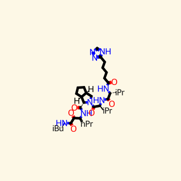 CCCC(NC(=O)[C@@H]1[C@H]2CCC[C@H]2CN1C(=O)[C@@H](NC(=O)[C@H](NC(=O)CCCCc1nnc[nH]1)C(C)C)C(C)C)C(=O)C(=O)N[C@H](C)CC